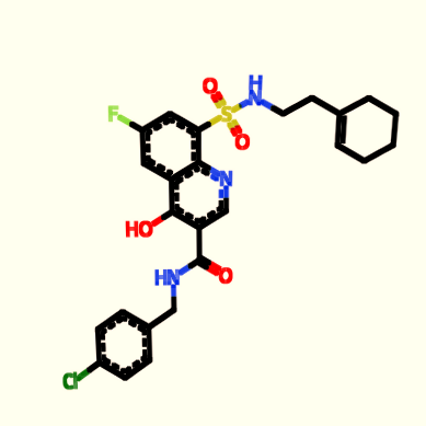 O=C(NCc1ccc(Cl)cc1)c1cnc2c(S(=O)(=O)NCCC3=CCCCC3)cc(F)cc2c1O